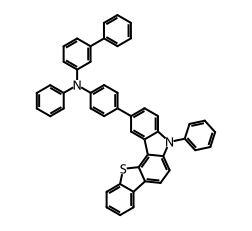 c1ccc(-c2cccc(N(c3ccccc3)c3ccc(-c4ccc5c(c4)c4c6sc7ccccc7c6ccc4n5-c4ccccc4)cc3)c2)cc1